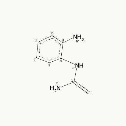 C=C(N)Nc1ccccc1N